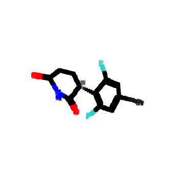 CC(C)c1cc(F)c([C@H]2CCC(=O)NC2=O)c(F)c1